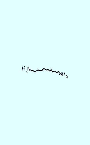 NC=CCCCCCCCCCCCCN